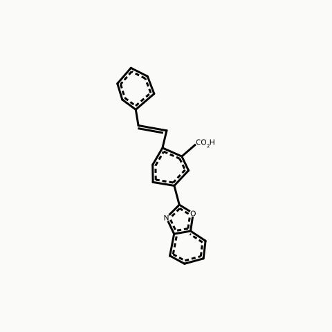 O=C(O)c1cc(-c2nc3ccccc3o2)ccc1C=Cc1ccccc1